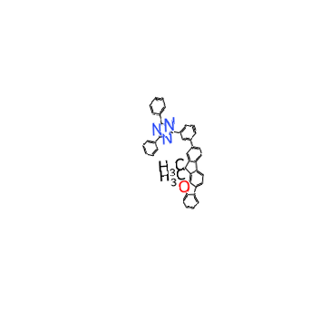 CC1(C)c2cc(-c3cccc(-c4nc(-c5ccccc5)nc(-c5ccccc5)n4)c3)ccc2-c2ccc3c(oc4ccccc43)c21